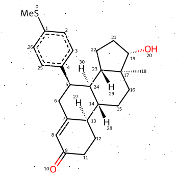 CSc1ccc([C@@H]2CC3=CC(=O)CC[C@@H]3[C@H]3CC[C@]4(C)[C@@H](O)CC[C@H]4[C@@H]32)cc1